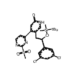 CC(C)(C)[Si](C)(C)OC(Cc1c[nH]c(=O)cc1-c1ccnc(S(C)(=O)=O)n1)c1cc(Cl)cc(Cl)c1